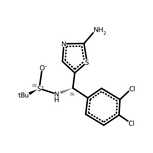 CC(C)(C)[S@@+]([O-])N[C@@H](c1ccc(Cl)c(Cl)c1)c1cnc(N)s1